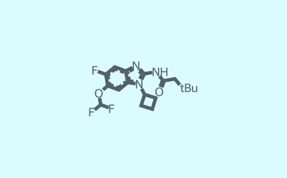 CC(C)(C)CC(=O)Nc1nc2cc(F)c(OC(F)F)cc2n1C1CCC1